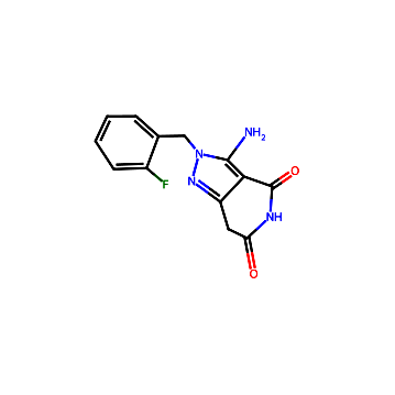 Nc1c2c(nn1Cc1ccccc1F)CC(=O)NC2=O